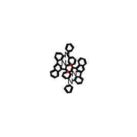 c1ccc(N(c2ccccc2)c2cccc3c4cc5ccccc5c5c6cc7c(cc6n(c23)c45)c2c3ccccc3cc3c4cccc(N(c5ccccc5)c5ccccc5)c4n7c32)cc1